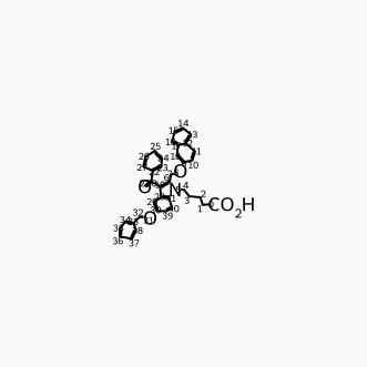 O=C(O)CCCCn1c(COc2ccc3ccccc3c2)c(C(=O)c2ccccc2)c2cc(OCc3ccccc3)ccc21